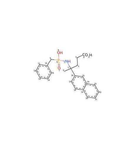 CC(CCC(=O)O)(NP(=O)(O)Cc1ccccc1)c1ccc2ccccc2c1